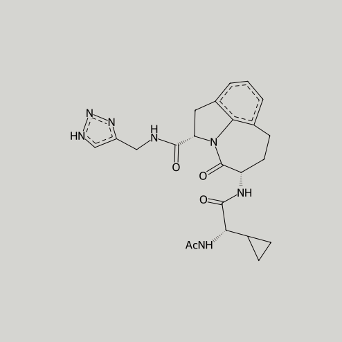 CC(=O)N[C@H](C(=O)N[C@H]1CCc2cccc3c2N(C1=O)[C@H](C(=O)NCc1c[nH]nn1)C3)C1CC1